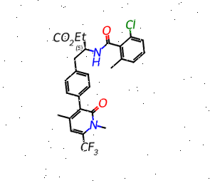 CCOC(=O)[C@H](Cc1ccc(-c2c(C)cc(C(F)(F)F)n(C)c2=O)cc1)NC(=O)c1c(C)cccc1Cl